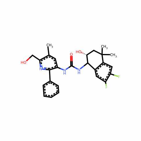 Cc1cc(NC(=O)NC2c3cc(F)c(F)cc3C(C)(C)C[C@H]2O)c(-c2ccccc2)nc1CO